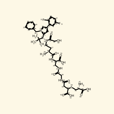 CC(C)(C)[C@H](c1cc(-c2cc(F)ccc2F)cn1Cc1ccccc1)N(CC[C@H](N)C(=O)NC(CNC(=O)CNC(=O)CC(SC[C@H](N)C(=O)O)C(=O)O)C(=O)O)C(=O)CO